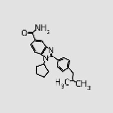 CC(C)Cc1ccc(-c2nc3cc(C(N)=O)ccc3n2C2CCCC2)cc1